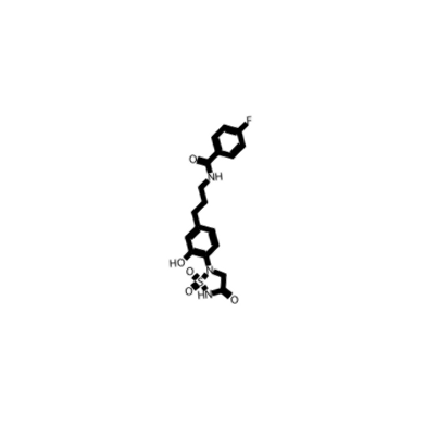 O=C1CN(c2ccc(CCCNC(=O)c3ccc(F)cc3)cc2O)S(=O)(=O)N1